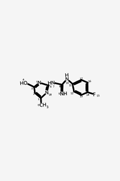 Cc1cc(O)nc(NC(=N)Nc2ccc(F)cc2)n1